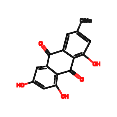 COc1cc(O)c2c(c1)C(=O)c1cc(O)cc(O)c1C2=O